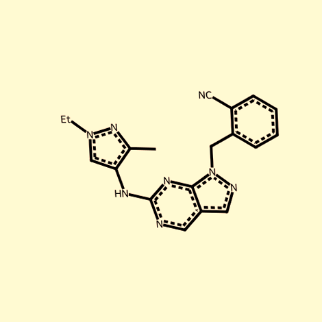 CCn1cc(Nc2ncc3cnn(Cc4ccccc4C#N)c3n2)c(C)n1